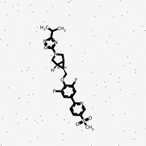 CC(C)c1noc(N2CC3[C@@H](COc4c(F)cc(-c5ccc(S(C)(=O)=O)cn5)cc4F)[C@@H]3C2)n1